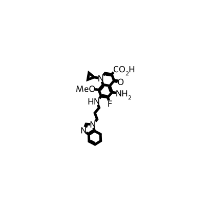 COc1c(NCCCn2cnc3c2CCC=C3)c(F)c(N)c2c(=O)c(C(=O)O)cn(C3CC3)c12